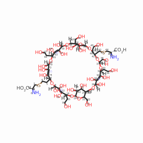 N[C@H](CSCC[C@H]1O[C@@H](O)/C(O)=C(\O)[C@@H](CCO)OC2OC(CO)[C@@H](O[C@@H](O)/C(O)=C(\O)[C@@H](CCO)O[C@H](CO)OC(CSC[C@@H](N)C(=O)O)[C@H](CO)O[C@H]3OC(CO)[C@@H](O[C@@H](O)/C(O)=C(\O)[C@@H](CCO)O[C@@H](O)/C(O)=C\1O)[C@H](O)C3O)C(O)[C@@H]2O)C(=O)O